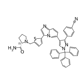 N#Cc1ccc(-c2nn(C(c3ccccc3)(c3ccccc3)c3ccccc3)cc2-c2ccc3ncc(-c4ccc(CN5CCC[C@H]5C(N)=O)s4)n3c2)cc1